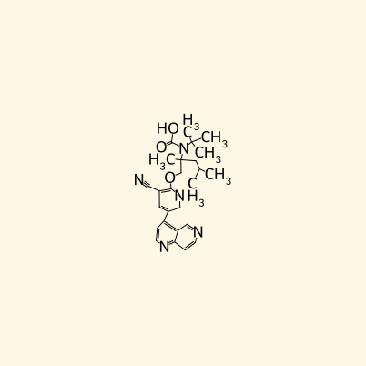 CC(C)CC(C)(COc1ncc(-c2ccnc3ccncc23)cc1C#N)N(C(=O)O)C(C)(C)C